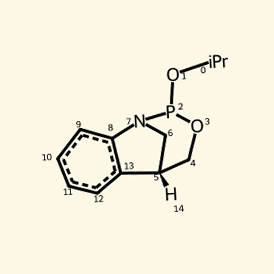 CC(C)OP1OC[C@H]2CN1c1ccccc12